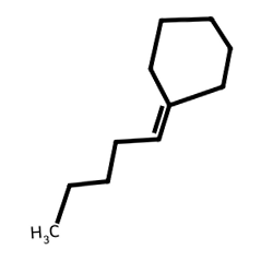 CCCCC=C1CCCCC1